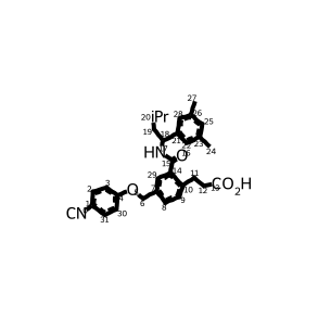 [C-]#[N+]c1ccc(OCc2ccc(CCC(=O)O)c(C(=O)NC(CC(C)C)c3cc(C)cc(C)c3)c2)cc1